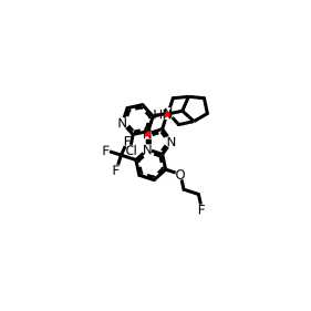 FCCOc1ccc(C(F)(F)F)n2nc(NC3C4CCC3CN(c3ccnc(Cl)c3)C4)nc12